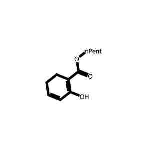 CCCCCOC(=O)C1=C(O)C=CC[CH]1